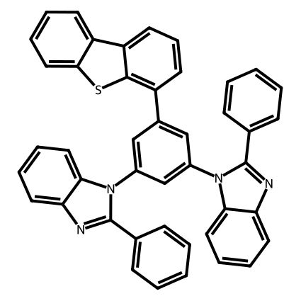 c1ccc(-c2nc3ccccc3n2-c2cc(-c3cccc4c3sc3ccccc34)cc(-n3c(-c4ccccc4)nc4ccccc43)c2)cc1